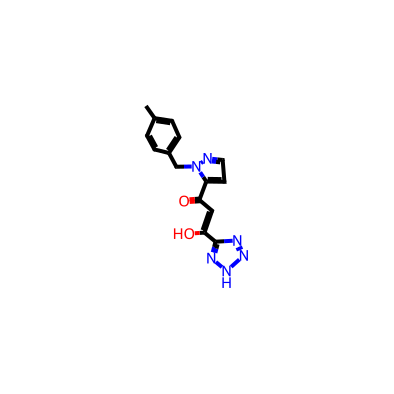 Cc1ccc(Cn2nccc2C(=O)C=C(O)c2nn[nH]n2)cc1